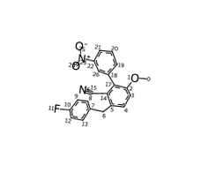 COc1ccc(Cc2ccc(F)cc2)c(C#N)c1-c1cccc([N+](=O)[O-])c1